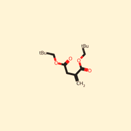 C=C(CC(=O)OCC(C)(C)C)C(=O)OCC(C)(C)C